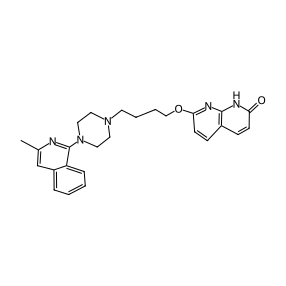 Cc1cc2ccccc2c(N2CCN(CCCCOc3ccc4ccc(=O)[nH]c4n3)CC2)n1